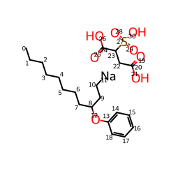 CCCCCCCCC(C[CH2][Na])Oc1ccccc1.O=C(O)CC(C(=O)O)S(=O)(=O)O